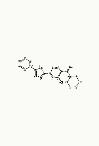 [O-][S+](c1ccc(-c2nnc(-c3ccccc3)[nH]2)cc1Cl)N1CCOCC1